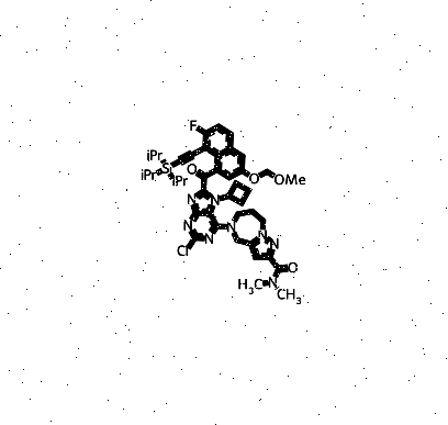 COCOc1cc(C(=O)c2nc3nc(Cl)nc(N4CCCn5nc(C(=O)N(C)C)cc5C4)c3n2C2CCC2)c2c(C#C[Si](C(C)C)(C(C)C)C(C)C)c(F)ccc2c1